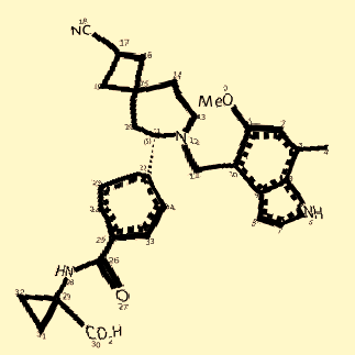 COc1cc(C)c2[nH]ccc2c1CN1CCC2(CC(C#N)C2)C[C@H]1c1ccc(C(=O)NC2(C(=O)O)CC2)cc1